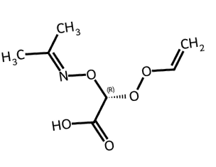 C=COO[C@@H](ON=C(C)C)C(=O)O